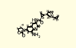 C[C@H]1COC(=O)N1c1cc(N)c2nnc(NC(=O)[C@H]3C[C@@H]3c3cnn(C4CC4)c3)cc2c1